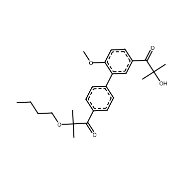 CCCCOC(C)(C)C(=O)c1ccc(-c2cc(C(=O)C(C)(C)O)ccc2OC)cc1